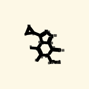 CCCCCn1c(C)c(C)n2c(C3CC3)nnc2c1=O